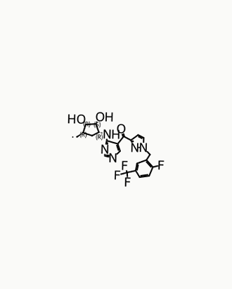 [CH2][C@@H]1C[C@@H](Nc2ncncc2C(=O)c2ccn(Cc3cc(C(F)(F)F)ccc3F)n2)[C@H](O)[C@@H]1O